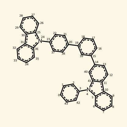 c1ccc(-n2c3ccccc3c3ccc(-c4cccc(-c5ccc(-n6c7ccccc7c7ccccc76)cc5)c4)cc32)cc1